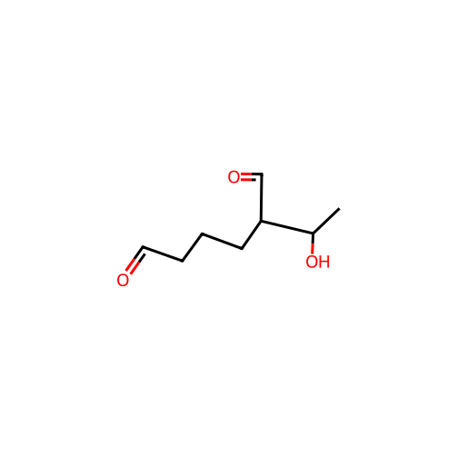 CC(O)C(C=O)CCCC=O